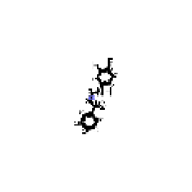 O=C(/C=C\Nc1ccc(F)c(F)c1)c1ccccc1